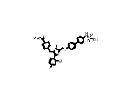 COC(=O)c1ccc(Cc2[nH]c(COc3ccc(-c4ccc(NS(C)(=O)=O)cc4)cc3)nc2-c2ccc(Cl)cc2Cl)cc1